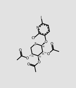 CC(=O)O[C@@H]1[C@@H](OC(C)=O)[C@H](OC(C)=O)CS[C@H]1Oc1ccc(I)nc1Cl